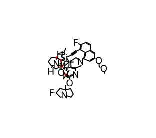 COCOc1cc(N2CCc3c(nc(OC[C@@]45CCCN4C[C@H](F)C5)nc3N3C[C@H]4CC[C@@H](C3)N4C(=O)OC(C)(C)C)C2)c2c(C#C[Si](C(C)C)(C(C)C)C(C)C)c(F)ccc2c1